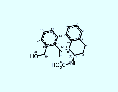 O=C(O)N[C@@H]1CCc2ccccc2[C@H]1Nc1ccccc1CO